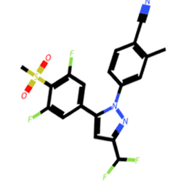 Cc1cc(-n2nc(C(F)F)cc2-c2cc(F)c(S(C)(=O)=O)c(F)c2)ccc1C#N